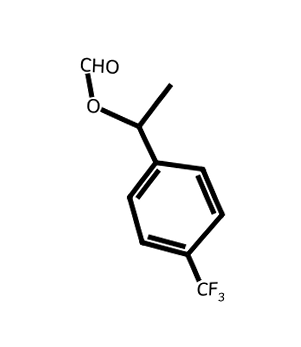 CC(OC=O)c1ccc(C(F)(F)F)cc1